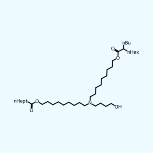 CCCCCCCC(=O)OCCCCCCCCCN(CCCCO)CCCCCCCCCOC(=O)C(CCCC)CCCCCC